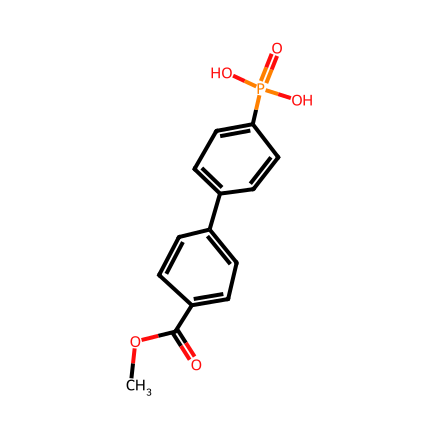 COC(=O)c1ccc(-c2ccc(P(=O)(O)O)cc2)cc1